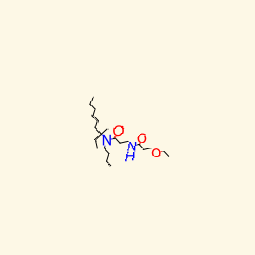 CCCCCCC(C)(CC)N(CCCC)C(=O)CCNC(=O)CCOCC